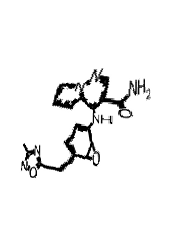 Cc1noc(CC2=CC=C(Nc3c(C(N)=O)cnn4cccc34)C3OC23)n1